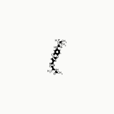 CC(=O)NC(C)c1nc(-c2cnc(Oc3ccc(NC(=O)OC(C)(C)C)cc3Cl)s2)no1